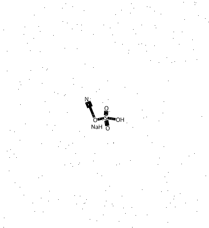 N#COS(=O)(=O)O.[NaH]